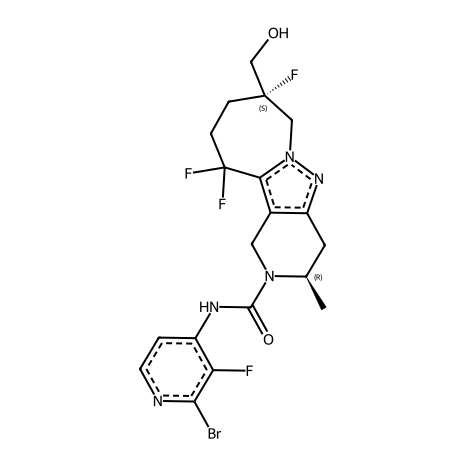 C[C@@H]1Cc2nn3c(c2CN1C(=O)Nc1ccnc(Br)c1F)C(F)(F)CC[C@@](F)(CO)C3